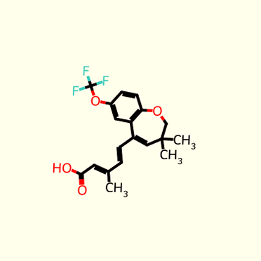 CC(C=CC1=CC(C)(C)COc2ccc(OC(F)(F)F)cc21)=CC(=O)O